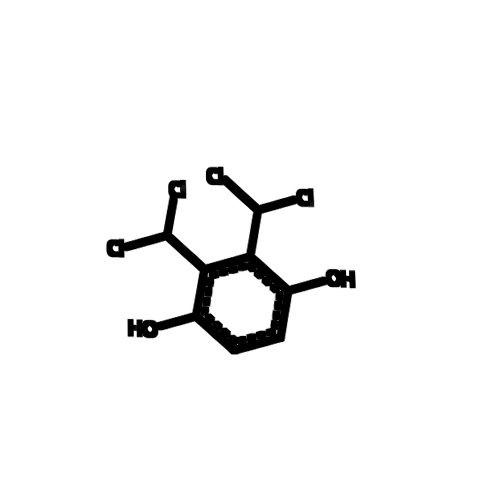 Oc1ccc(O)c(C(Cl)Cl)c1C(Cl)Cl